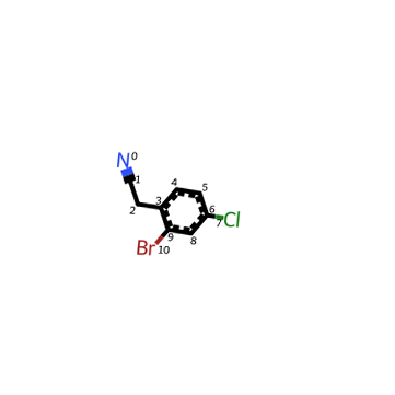 N#CCc1ccc(Cl)cc1Br